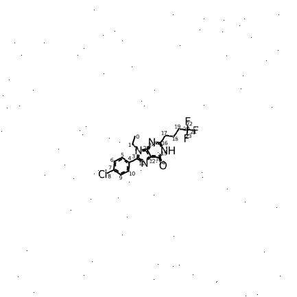 CCn1c(-c2ccc(Cl)cc2)nc2c(=O)[nH]c(CCCC(F)(F)F)nc21